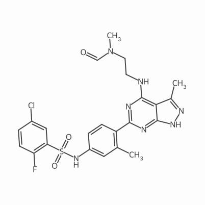 Cc1cc(NS(=O)(=O)c2cc(Cl)ccc2F)ccc1-c1nc(NCCN(C)C=O)c2c(C)n[nH]c2n1